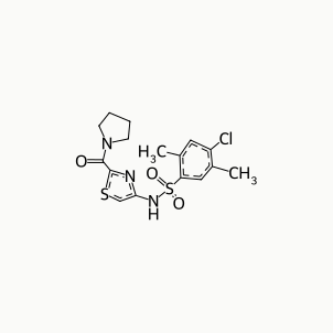 Cc1cc(S(=O)(=O)Nc2csc(C(=O)N3CCCC3)n2)c(C)cc1Cl